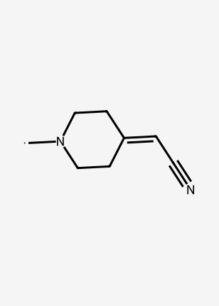 [CH2]N1CCC(=CC#N)CC1